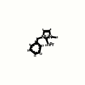 CCCC1N(C)C=CN1Cc1ccccc1